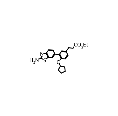 CCOC(=O)CCc1ccc(OC2CCCC2)c(-c2ccc3nc(N)sc3c2)c1